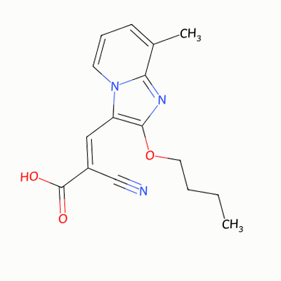 CCCCOc1nc2c(C)cccn2c1/C=C(\C#N)C(=O)O